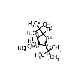 CC(C)(C)C1=P[C]([Ti])(C(C)(C)C)C=C1.Cl.Cl.Cl